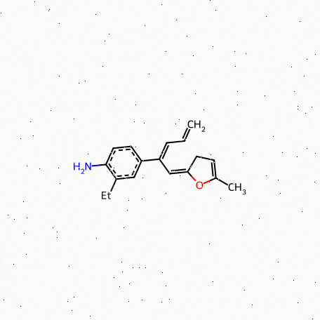 C=C/C=C(\C=C1/CC=C(C)O1)c1ccc(N)c(CC)c1